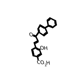 O=C(O)c1ccc(/C=C/C(=O)c2ccc(-c3ccccc3)cc2)c(O)c1